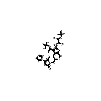 CC(C)(C)OC(=O)C(=O)Nc1sc2c(c1C(=O)OC(C)(C)C)CC(CN1C(=O)CC(n3ccnc3)C1=O)OC2